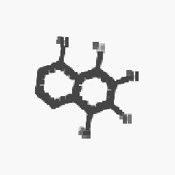 [2H]c1c([2H])c([2H])c2c([2H])cccc2c1[2H]